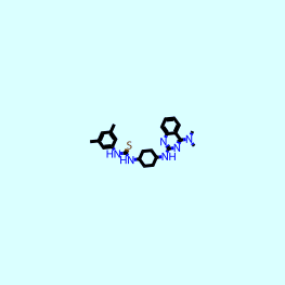 Cc1cc(C)cc(NC(=S)NC2CCC(Nc3nc(N(C)C)c4ccccc4n3)CC2)c1